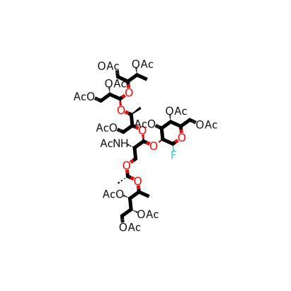 CC(=O)N[C@@H](CO[C@@H](C)OC(C)[C@@H](OC(C)=O)[C@@H](COC(C)=O)OC(C)=O)[C@@H](OC(COC(C)=O)[C@H](C)O[C@H](OC(COC(C)=O)[C@@H](C)OC(C)=O)[C@H](COC(C)=O)OC(C)=O)O[C@@H]1C(OC(C)=O)[C@H](OC(C)=O)C(COC(C)=O)O[C@@H]1F